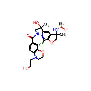 CC1(N[S+]([O-])C(C)(C)C)COc2c1cc(C(O)(CNC(=O)c1ccc3c(c1)OCCN3CCO)C(F)(F)F)nc2Cl